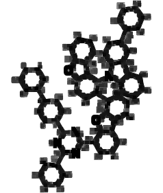 c1ccc(-c2ccc(-c3nc(-c4ccccc4)nc(-c4cccc5c4oc4c(-c6ccc7oc8ccccc8c7c6-n6c7ccccc7c7cc(-c8ccccc8)ccc76)cccc45)n3)cc2)cc1